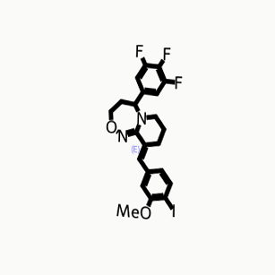 COc1cc(/C=C2\CCCN3C2=NOCCC3c2cc(F)c(F)c(F)c2)ccc1I